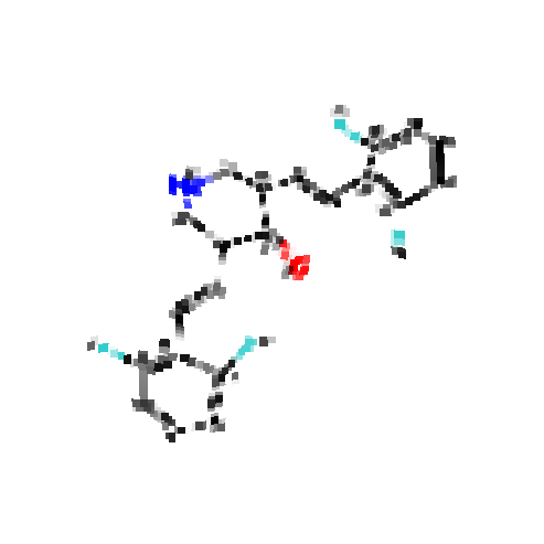 O=C1C(C=Cc2c(F)cccc2F)CNCC1C=Cc1c(F)cccc1F